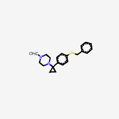 O=CN1CCN(C2(c3ccc(SCc4ccccc4)cc3)CC2)CC1